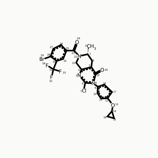 C[C@@H]1Cc2c(nc(Cl)n(-c3ccc(OC4CC4)cc3)c2=O)CN1C(=O)c1ccc(Br)c(C(F)(F)F)c1